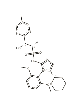 COc1cccc(OC)c1-n1c(NS(=O)(=O)[C@@H](C)[C@H](O)c2ncc(C)cn2)nnc1[C@@H]1CCCCO1